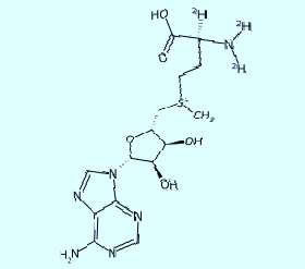 [2H]N([2H])[C@@]([2H])(CC[S+](C)C[C@H]1O[C@@H](n2cnc3c(N)ncnc32)[C@H](O)[C@@H]1O)C(=O)O